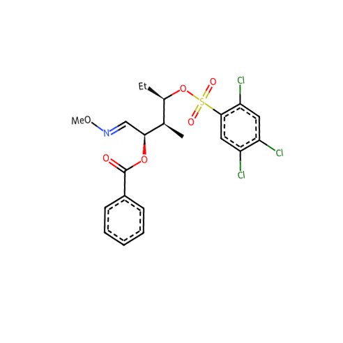 CC[C@@H](OS(=O)(=O)c1cc(Cl)c(Cl)cc1Cl)[C@@H](C)[C@H](C=NOC)OC(=O)c1ccccc1